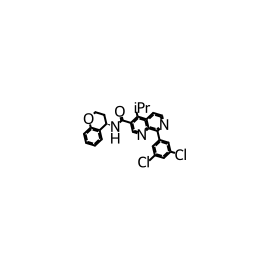 CC(C)c1c(C(=O)N[C@H]2CCOc3ccccc32)cnc2c(-c3cc(Cl)cc(Cl)c3)nccc12